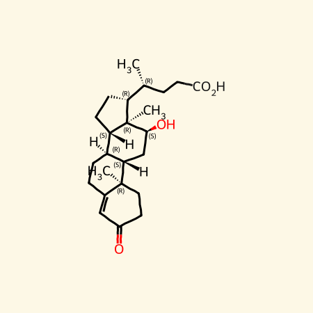 C[C@H](CCC(=O)O)[C@H]1CC[C@H]2[C@@H]3CCC4=CC(=O)CC[C@]4(C)[C@H]3C[C@H](O)[C@]12C